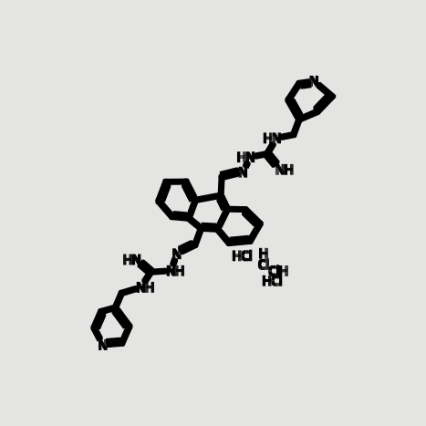 Cl.Cl.Cl.Cl.N=C(NCc1ccncc1)NN=Cc1c2ccccc2c(C=NNC(=N)NCc2ccncc2)c2ccccc12